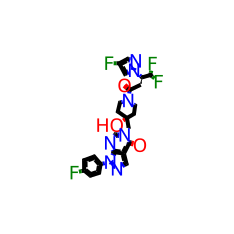 O=C(C[C@@H](C(F)F)n1cc(F)cn1)N1CCC(O)(Cn2cnc3c(cnn3-c3ccc(F)cc3)c2=O)CC1